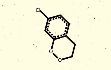 Clc1c[c]c2c(c1)OOCC2